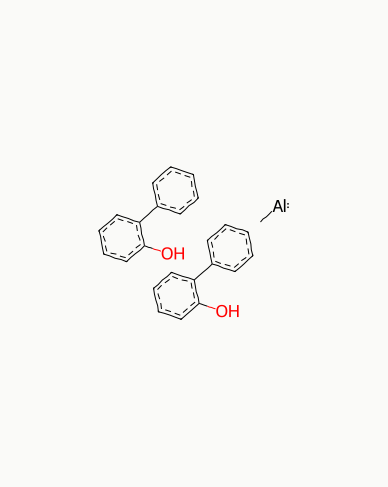 Oc1ccccc1-c1ccccc1.Oc1ccccc1-c1ccccc1.[CH3][Al]